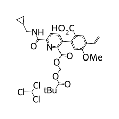 C=Cc1cc(C(=O)O)c(-c2ccc(C(=O)NCC3CC3)nc2C(=O)OCOC(=O)C(C)(C)C)cc1OC.ClC(Cl)Cl